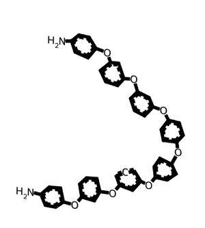 Nc1ccc(Oc2cccc(Oc3cccc(Oc4ccc(Oc5ccc(Oc6cccc(Oc7cccc(Oc8ccc(N)cc8)c7)c6)cc5)cc4)c3)c2)cc1